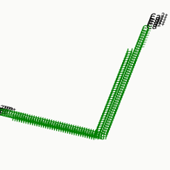 Cl.Cl.Cl.Cl.Cl.Cl.Cl.Cl.Cl.Cl.Cl.Cl.Cl.Cl.Cl.Cl.Cl.Cl.Cl.Cl.Cl.Cl.Cl.Cl.Cl.Cl.Cl.Cl.Cl.Cl.Cl.Cl.Cl.Cl.Cl.Cl.Cl.Cl.Cl.Cl.Cl.Cl.Cl.Cl.Cl.Cl.Cl.Cl.Cl.Cl.Cl.Cl.Cl.Cl.Cl.Cl.Cl.Cl.Cl.Cl.Cl.Cl.Cl.Cl.Cl.Cl.Cl.Cl.Cl.Cl.Cl.Cl.Cl.Cl.Cl.[Ca+2].[Ca+2].[Ca+2].[Ca+2].[Ca+2].[Ca+2].[Ca+2].[Ca+2].[Ca+2].[Ca+2].[Cl-].[Cl-].[Cl-].[Cl-].[Cl-].[Cl-].[Cl-].[Cl-].[Cl-].[Cl-].[Cl-].[Cl-].[Cl-].[Cl-].[Cl-].[Cl-].[Cl-].[Cl-].[Cl-].[Cl-]